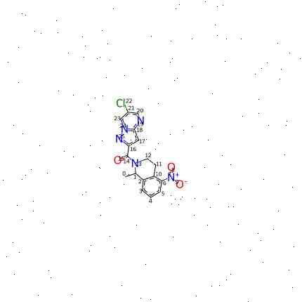 CC1c2cccc([N+](=O)[O-])c2CCN1C(=O)c1cc2ncc(Cl)cn2n1